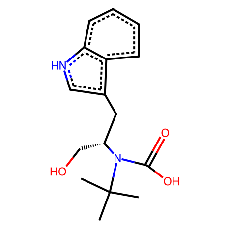 CC(C)(C)N(C(=O)O)[C@H](CO)Cc1c[nH]c2ccccc12